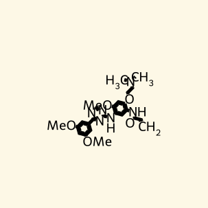 C=CC(=O)Nc1cc(Nc2ncnc(-c3cc(OC)cc(OC)c3)n2)c(OC)cc1OCCN(C)C